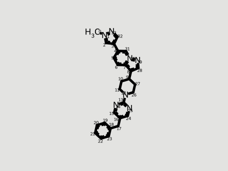 Cn1cc(-c2ccc3c(C4CCN(c5ncc(Cc6ccccc6)cn5)CC4)cnn3c2)cn1